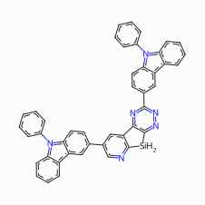 c1ccc(-n2c3ccccc3c3cc(-c4cnc5c(c4)-c4nc(-c6ccc7c(c6)c6ccccc6n7-c6ccccc6)nnc4[SiH2]5)ccc32)cc1